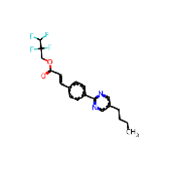 CCCCc1cnc(-c2ccc(C=CC(=O)OCC(F)(F)C(F)F)cc2)nc1